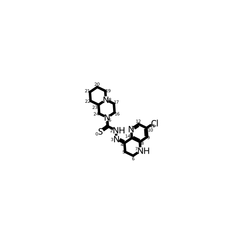 S=C(N/N=C1/CCNc2cc(Cl)cnc21)N1CCN2CCCCC2C1